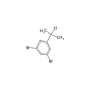 CC(C)(Cl)c1cc(Br)cc(Br)c1